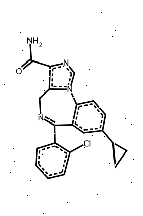 NC(=O)c1ncn2c1CN=C(c1ccccc1Cl)c1cc(C3CC3)ccc1-2